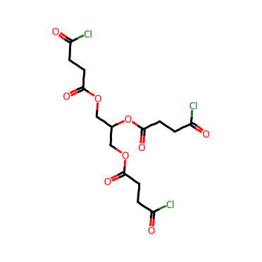 O=C(Cl)CCC(=O)OCC(COC(=O)CCC(=O)Cl)OC(=O)CCC(=O)Cl